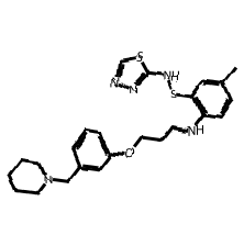 Cc1ccc(NCCCOc2cccc(CN3CCCCC3)c2)c(SNc2nncs2)c1